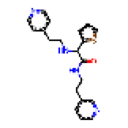 O=C(NCCc1cccnc1)C(NCCc1ccncc1)c1cccs1